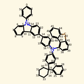 c1ccc(-n2c3ccccc3c3cc(-c4ccc(N(c5ccc(C6(c7ccccc7)CCCCC6)cc5)c5cccc6sc7ccccc7c56)cc4)ccc32)cc1